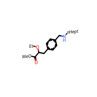 CCCCCCCNCc1ccc(CC(OCC)C(=O)OC)cc1